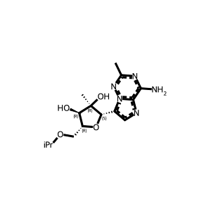 Cc1nc(N)c2ncc([C@@H]3O[C@H](COC(C)C)[C@@H](O)[C@@]3(C)O)n2n1